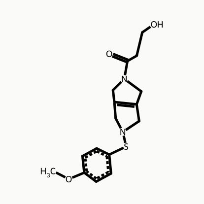 COc1ccc(SN2CC3=C(C2)CN(C(=O)CCO)C3)cc1